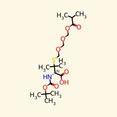 CC(C)C(=O)OCOCOCSC(C)(C)[C@@H](NC(=O)OC(C)(C)C)C(=O)O